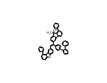 CC1(C)c2ccc(/C(=C/c3ccc4sc5cccc(-c6ccccc6)c5c4c3)c3ccc(-c4ccccc4-c4ccccc4)cc3)cc2-c2cccc(-c3ccccc3)c21